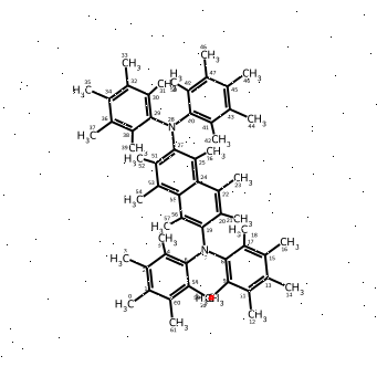 Cc1c(C)c(C)c(N(c2c(C)c(C)c(C)c(C)c2C)c2c(C)c(C)c3c(C)c(N(c4c(C)c(C)c(C)c(C)c4C)c4c(C)c(C)c(C)c(C)c4C)c(C)c(C)c3c2C)c(C)c1C